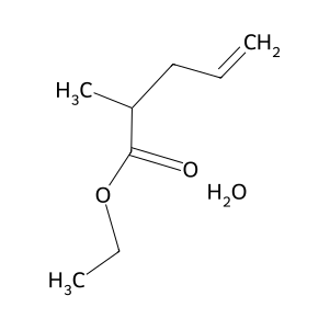 C=CCC(C)C(=O)OCC.O